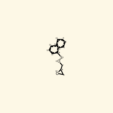 c1ccc2c(SOCC3CO3)cccc2c1